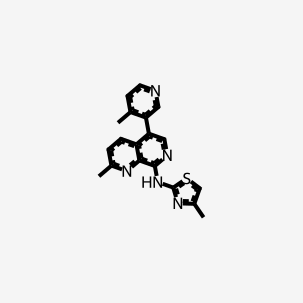 Cc1csc(Nc2ncc(-c3cnccc3C)c3ccc(C)nc23)n1